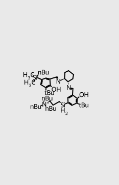 CCCC[N+](CCCC)(CCCC)CCC[SiH2]c1cc(/C=N/[C@H]2CCCC[C@@H]2/N=C/c2cc([Si](C)(C)CCCC)cc(C(C)(C)C)c2O)c(O)c(C(C)(C)C)c1